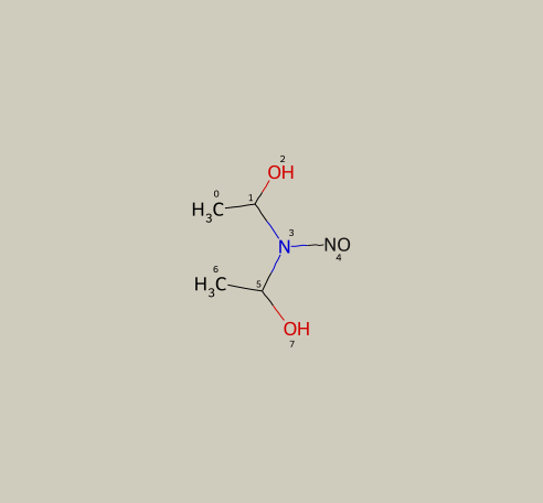 CC(O)N(N=O)C(C)O